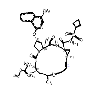 COc1cnc(O[C@@H]2C[C@H]3C(=O)N[C@]4(C(=O)NS(=O)(=O)C5CCC5)C[C@H]4/C=C\CCC(C)C[C@@H](C)[C@H](NC(=O)OC(C)(C)C)C(=O)N3C2)c2ccccc12